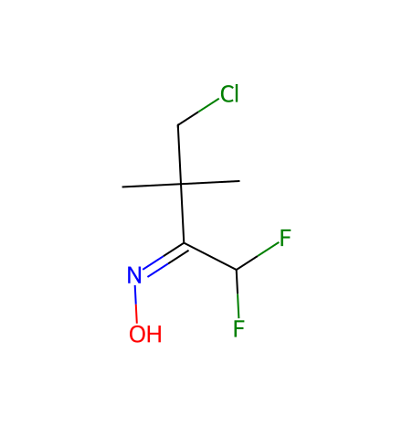 CC(C)(CCl)C(=NO)C(F)F